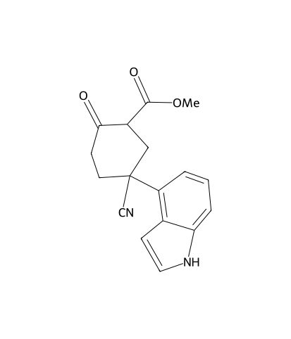 COC(=O)C1CC(C#N)(c2cccc3[nH]ccc23)CCC1=O